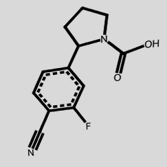 N#Cc1ccc(C2CCCN2C(=O)O)cc1F